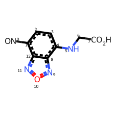 O=Nc1ccc(NCC(=O)O)c2nonc12